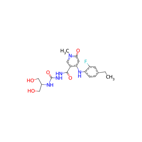 CCc1ccc(Nc2cc(=O)n(C)cc2C(=O)NNC(=O)NC(CO)CO)c(F)c1